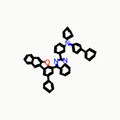 c1ccc(-c2ccc(N(c3ccccc3)c3cccc(-c4nc(-c5cc(-c6ccccc6)cc6c5oc5cc7ccccc7cc56)c5ccccc5n4)c3)cc2)cc1